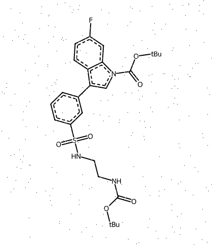 CC(C)(C)OC(=O)NCCNS(=O)(=O)c1cccc(-c2cn(C(=O)OC(C)(C)C)c3cc(F)ccc23)c1